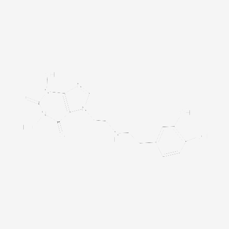 Cn1c(=O)c2c(ncn2CCNCCc2ccc(O)c(O)c2)n(C)c1=O